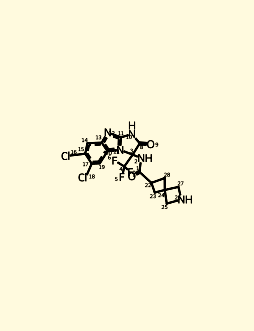 O=C(NC1(C(F)(F)F)C(=O)Nc2nc3cc(Cl)c(Cl)cc3n21)C1CC2(CNC2)C1